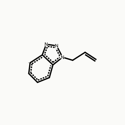 C=CCn1nnc2[c]cccc21